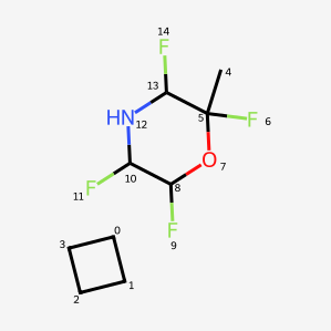 C1CCC1.CC1(F)OC(F)C(F)NC1F